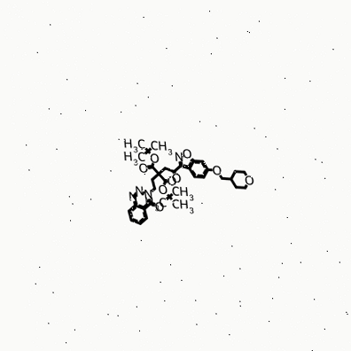 CC(C)(C)OC(=O)C(CCn1nnc2ccccc2c1=O)(CC(=O)c1noc2cc(OCC3CCOCC3)ccc12)C(=O)OC(C)(C)C